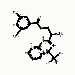 C[C@H](CCC(=O)c1cc(S)cc(Cl)c1)/C(=N/C(=N)C(F)(F)F)Nc1ncccn1